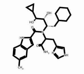 Cc1ccc2[nH]c(C(=O)N(C(Cc3c[nH]cn3)C(N)=O)[C@@H](CC3CCCCC3)[C@@H](O)[C@@H](O)C3CC3)cc2c1